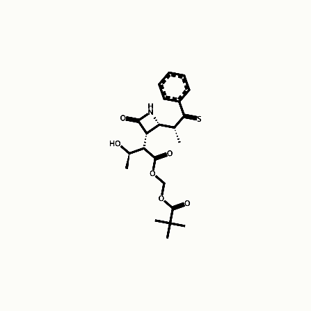 C[C@@H](O)C(C(=O)OCOC(=O)C(C)(C)C)[C@@H]1C(=O)N[C@@H]1[C@@H](C)C(=S)c1ccccc1